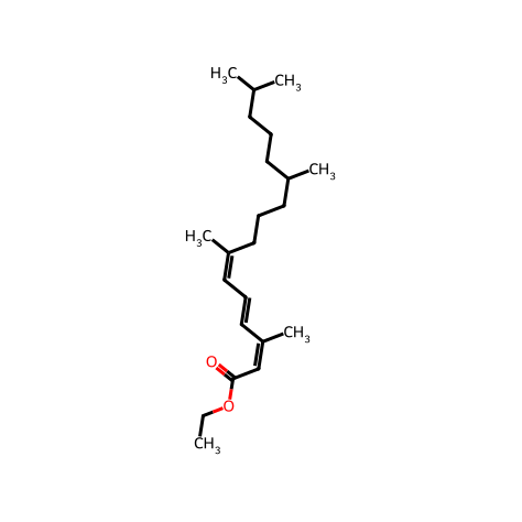 CCOC(=O)C=C(C)C=CC=C(C)CCCC(C)CCCC(C)C